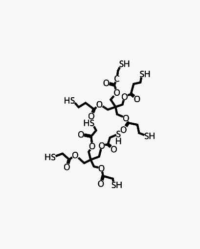 O=C(CCS)OCC(COC(=O)CCS)(COC(=O)CCS)COC(=O)CCS.O=C(CS)OCC(COC(=O)CS)(COC(=O)CS)COC(=O)CS